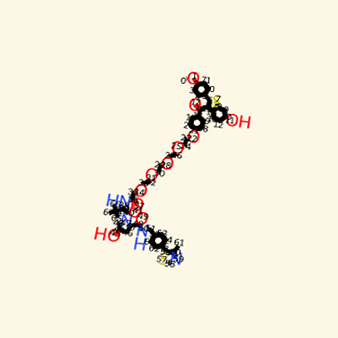 COc1ccc(-c2sc3cc(O)ccc3c2C(=O)c2ccc(OCCOCCOCCOCCOCC(=O)N[C@H](C(=O)N3CC(O)CC3C(=O)NCc3ccc(-c4scnc4C)cc3)C(C)(C)C)cc2)cc1